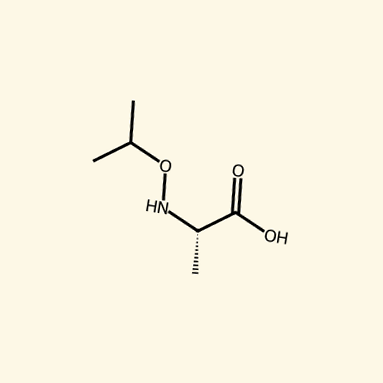 CC(C)ON[C@@H](C)C(=O)O